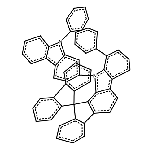 c1ccc(-c2cccc3c4ccc5c(c4n(-c4ccc6c7ccccc7n(-c7ccccc7)c6c4)c23)C2(c3ccccc3-c3ccccc32)c2ccccc2-5)cc1